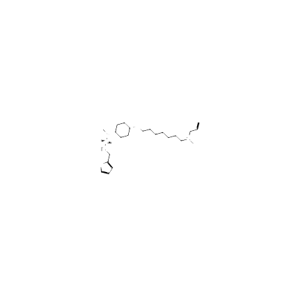 C=CCN(C)CCCCCCCO[C@H]1CC[C@H](N(C)S(=O)(=O)NCc2ccco2)CC1